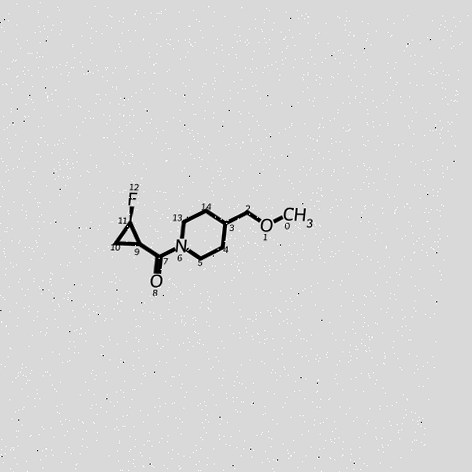 COCC1CCN(C(=O)C2C[C@H]2F)CC1